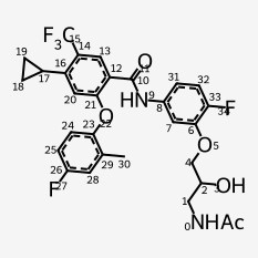 CC(=O)NCC(O)COc1cc(NC(=O)c2cc(C(F)(F)F)c(C3CC3)cc2Oc2ccc(F)cc2C)ccc1F